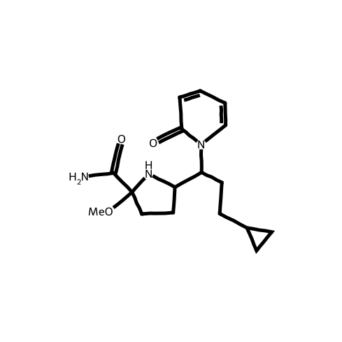 COC1(C(N)=O)CCC(C(CCC2CC2)n2ccccc2=O)N1